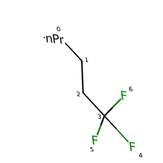 [CH2]C[CH]CCC(F)(F)F